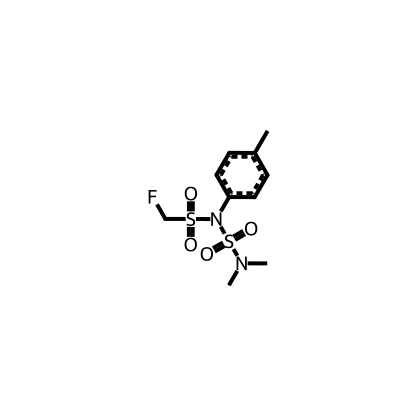 Cc1ccc(N(S(=O)(=O)CF)S(=O)(=O)N(C)C)cc1